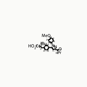 COc1ccc(-n2nc(C(=O)C(C)C)cc2-c2ccc(CN(C(=O)O)C(C)(C)C)cc2)cc1